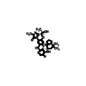 C[C@H](O)COc1cc(F)c(Nc2ncc(F)c(N[C@@H]3C[C@@H]4CCCN4C(C)(C)C3)n2)cc1-n1nnn(C)c1=O